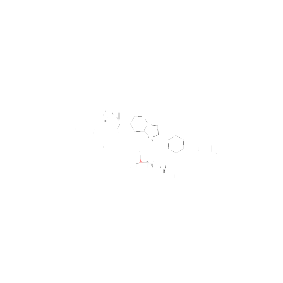 COc1ccc(-c2c(C3CCCCC3)c3ccc(C(=O)NS(=O)(=O)CC(C)C)cc3n2CC2(C(=O)N3CC45COCC4(CN(C)C5)C3)CC2)cc1